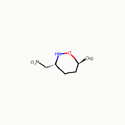 O=C[C@H]1CC[C@H](C[N+](=O)[O-])NO1